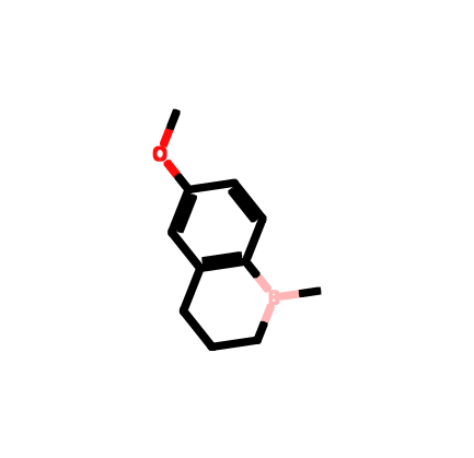 COc1ccc2c(c1)CCCB2C